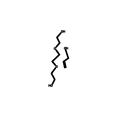 C=CCO.OCCOCCOCCO